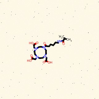 C=C(C)C(=O)NCCCCCC(=O)N1CCN(CC(=O)O)CCN(CC(=O)O)CCN(CC(=O)O)CC1